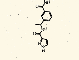 CC(NC(=O)c1cc[nH]n1)c1cccc(C(=O)NO)c1